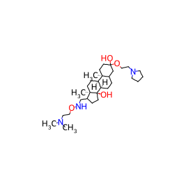 CN(C)CCONCC1CC[C@@]2(O)[C@@H]3CCC4CC(O)(OCCN5CCCC5)CC[C@]4(C)[C@@H]3CC[C@]12C